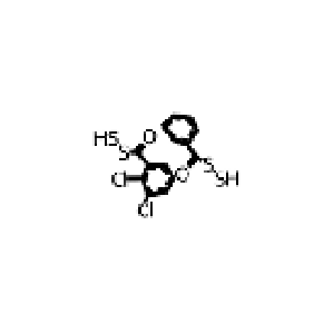 O=C(SS)c1cccc(Cl)c1Cl.O=C(SS)c1ccccc1